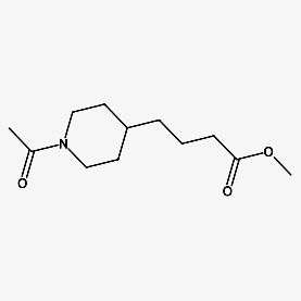 COC(=O)CCCC1CCN(C(C)=O)CC1